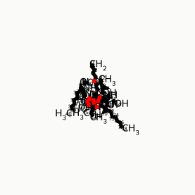 C=CCCCCCCN(C(=O)C(CO)NC(=O)C1(NC(=O)[C@@H](CO)NC(=O)C2(NC(C)=O)CC2CCCCCCC)CC1C(C)C)C1(C(=O)N[C@H](CC(=O)O)C(=O)NC2(C(=O)N[C@H](CC(=O)O)C(N)=O)CC2CCCCCCC)CC1C(C)C